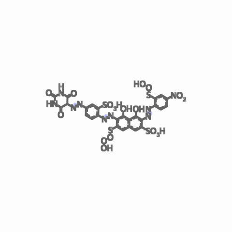 O=C1NC(=O)C(/N=N/c2ccc(/N=N/c3c(SOOO)cc4cc(S(=O)(=O)O)c(/N=N/c5ccc([N+](=O)[O-])cc5SOO)c(O)c4c3O)c(S(=O)(=O)O)c2)C(=O)N1